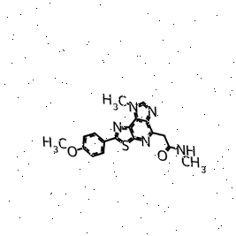 CNC(=O)Cc1nc2sc(-c3ccc(OC)cc3)nc2c2c1ncn2C